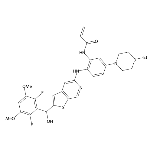 C=CC(=O)Nc1cc(N2CCN(CC)CC2)ccc1Nc1cc2cc(C(O)c3c(F)c(OC)cc(OC)c3F)sc2cn1